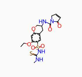 CCOc1cc2c(cc1S(=O)(=O)NC(=S)NC)CC(NC(=O)N1CC=CC1=O)CO2